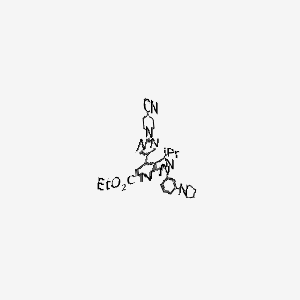 CCOC(=O)c1cc(-c2cnc(N3CCC(C#N)CC3)nc2)c2c(C(C)C)nn(-c3cccc(N4CCCC4)c3)c2n1